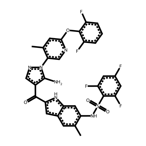 Cc1cc2cc(C(=O)c3cnn(-c4cnc(Oc5c(F)cccc5F)cc4C)c3N)[nH]c2cc1NS(=O)(=O)c1c(F)cc(F)cc1F